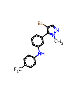 Cn1ncc(Br)c1-c1cccc(Nc2ccc(C(F)(F)F)cc2)c1